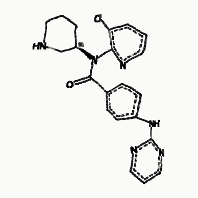 O=C(c1ccc(Nc2ncccn2)cc1)N(c1ncccc1Cl)[C@@H]1CCCNC1